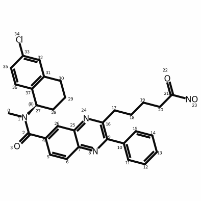 CN(C(=O)c1ccc2nc(-c3ccccc3)c(CCCCC(=O)N=O)nc2c1)[C@@H]1CCCc2cc(Cl)ccc21